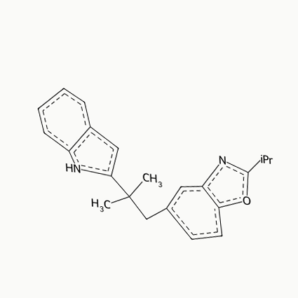 CC(C)c1nc2cc(CC(C)(C)c3cc4ccccc4[nH]3)ccc2o1